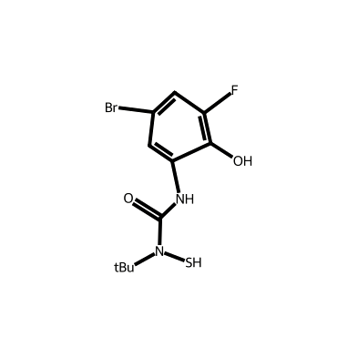 CC(C)(C)N(S)C(=O)Nc1cc(Br)cc(F)c1O